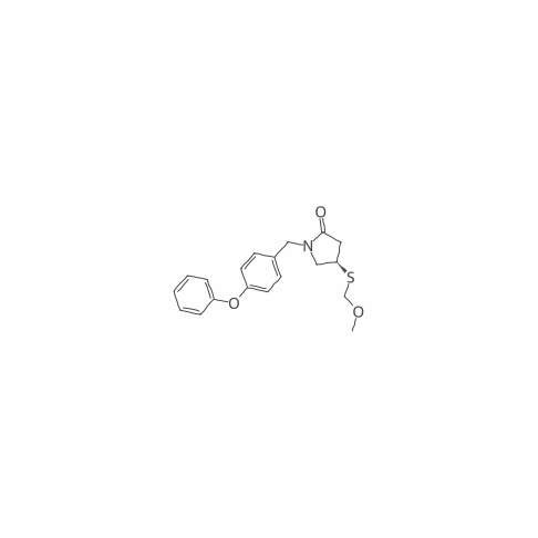 COCS[C@@H]1CC(=O)N(Cc2ccc(Oc3ccccc3)cc2)C1